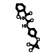 O=C(NC(=O)c1ccccc1Cl)Nc1ccc(OC2CC2(Cl)Cl)cc1